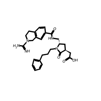 N=C(N)N1CCc2ccc(C(=O)NC[C@@H]3C[C@@H](CC(=O)O)C(=O)N3CCCc3ccccc3)cc2C1